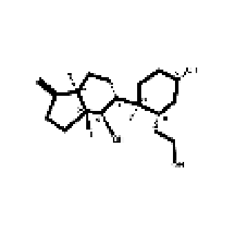 C=C1CC[C@H]2[C@H](O)[C@@H]([C@@]3(C)CC[C@H](O)C[C@@H]3CCO)CC[C@]12C